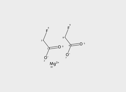 O=C([O-])CF.O=C([O-])CF.[Mg+2]